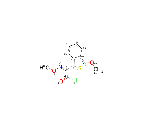 CON=C(C(=O)Cl)c1sc(OC)c2ccccc12